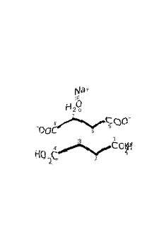 O.O=C(O)CCC(=O)O.O=C([O-])CCC(=O)[O-].[K+].[Na+]